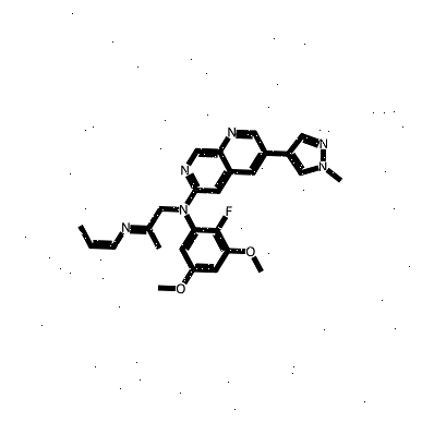 C/C=C\N=C(/C)CN(c1cc2cc(-c3cnn(C)c3)cnc2cn1)c1cc(OC)cc(OC)c1F